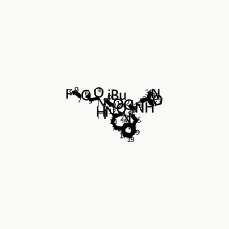 CC[C@H](C)[C@H](NC(=O)COCCF)C(=O)N[C@H]1CCc2cccc3c2N(C1=O)[C@H](C(=O)NCc1cnoc1)C3